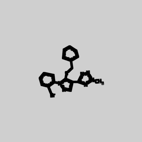 Cn1nnc(-c2cnn(-c3ccccc3Br)c2SCc2ccccc2)n1